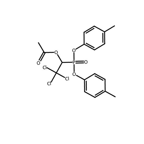 CC(=O)OC(C(Cl)(Cl)Cl)P(=O)(Oc1ccc(C)cc1)Oc1ccc(C)cc1